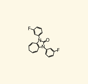 O=c1n(-c2cccc(F)c2)c2c(n1-c1cccc(F)c1)C=CCC=C2